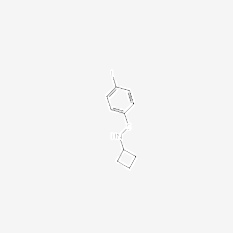 Ic1ccc(SNC2CCC2)cc1